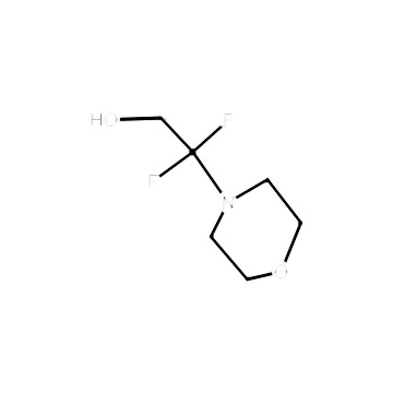 O[CH]C(F)(F)N1CCOCC1